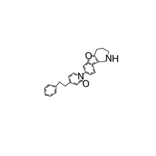 O=c1cc(CCc2ccccc2)ccn1-c1ccc2c3c(oc2c1)CCCNC3